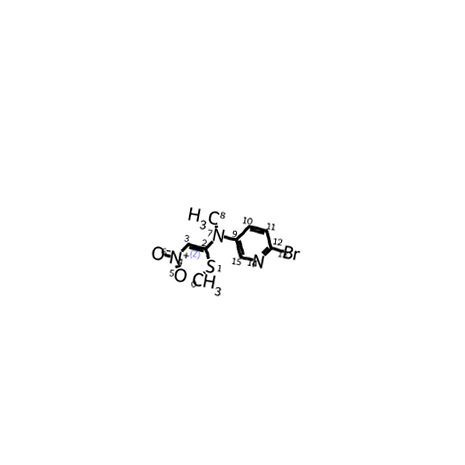 CS/C(=C\[N+](=O)[O-])N(C)c1ccc(Br)nc1